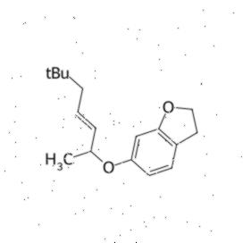 CC(C=CCC(C)(C)C)Oc1ccc2c(c1)OCC2